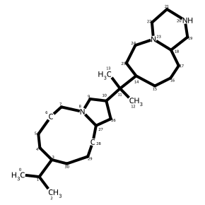 CC(C)C1CCCCN2CC(C(C)(C)C3CCCC4CNCCN4CC3)CC2CCC1